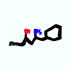 CC(C)CC(O)CC(N)CC1CCCCC1